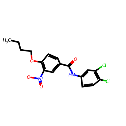 CCCCOc1ccc(C(=O)Nc2ccc(Cl)c(Cl)c2)cc1[N+](=O)[O-]